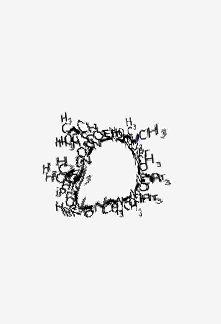 C/C=C/C[C@@H](C)[C@@H](O)[C@H]1C(=O)N[C@@H](CC)C(=O)N(C)[C@H](CSC(C)(C)CC(C)O)C(=O)N(C)[C@@H](CC(C)(C)O)C(=O)N[C@@H](C(C)C)C(=O)N(C)[C@@H](CC(C)C)C(=O)N[C@@H](C)C(=O)N[C@H](C)C(=O)N(C)[C@@H](CC(C)C)C(=O)N(C)[C@@H](CC(C)C)C(=O)N(C)[C@@H](C(C)C)C(=O)N1C